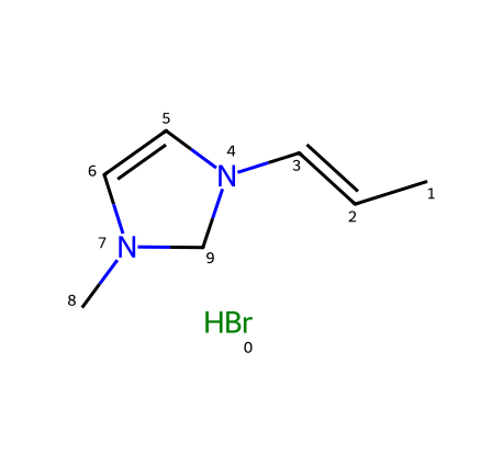 Br.CC=CN1C=CN(C)C1